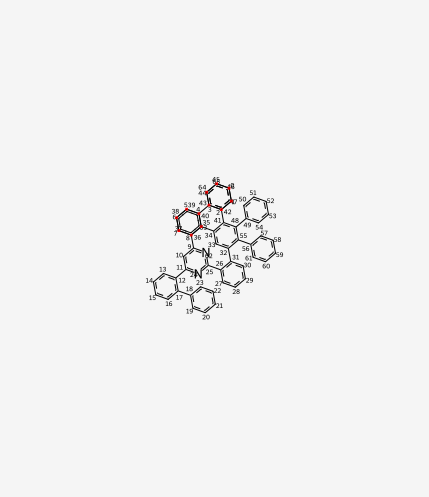 c1ccc(-c2cccc(-c3cc(-c4ccccc4-c4ccccc4)nc(-c4ccccc4-c4cc(-c5ccccc5)c(-c5ccccc5)c(-c5ccccc5)c4-c4ccccc4)n3)c2)cc1